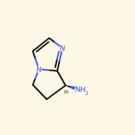 N[C@H]1CCn2ccnc21